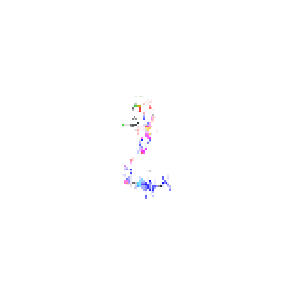 CC(C)(C)OC(=O)C[C@@]1(C)C[C@H](c2cccc(Cl)c2)[C@@H](c2ccc(Cl)cc2)N([C@H](CS(=O)(=O)N2CCN(C(=O)CCC(=O)N3CCN(C(=O)c4ccc(Nc5nc(C6CC6)cn6c(-c7cn[nH]c7)cnc56)c(F)c4)CC3)CC2)C(C)(C)C)C1=O